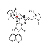 CN1CC[C@@H](O)[C@H]1COc1nc(N2C[C@H]3CC[C@@H](C2)N3C(=O)OC(C)(C)C)c2cnc(-c3cccc4cccc(Cl)c34)c(F)c2n1